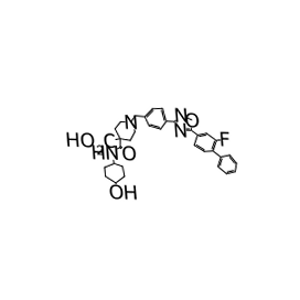 O=C(O)C1(C(=O)NC2CCC(O)CC2)CCN(Cc2ccc(-c3noc(-c4ccc(-c5ccccc5)c(F)c4)n3)cc2)CC1